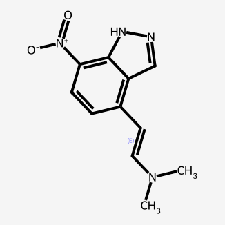 CN(C)/C=C/c1ccc([N+](=O)[O-])c2[nH]ncc12